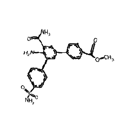 COC(=O)c1ccc(-c2cc(C(N)=O)c(N)c(-c3ccc(S(N)(=O)=O)cc3)c2)cc1